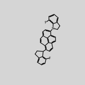 Fc1cccc2c1C(c1ccc3ccc4c(N5CCc6cccc(F)c65)ccc5ccc1c3c54)CC2